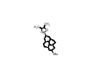 C=C1OB(c2cc3ccc4cc(C(C)(C)C)cc5ccc(c2)c3c45)OC1=C